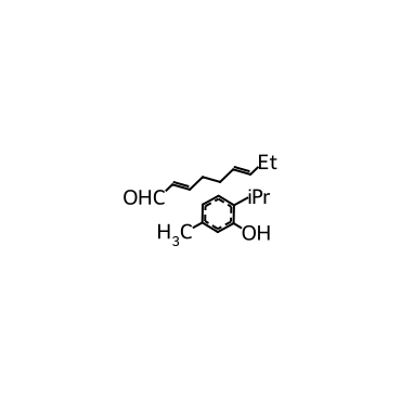 CCC=CCCC=CC=O.Cc1ccc(C(C)C)c(O)c1